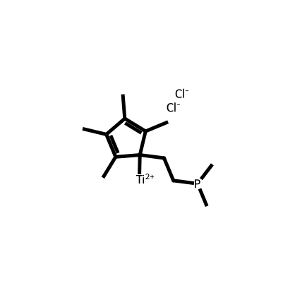 CC1=C(C)[C]([Ti+2])(CCP(C)C)C(C)=C1C.[Cl-].[Cl-]